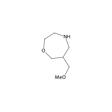 COCC1CNCCOC1